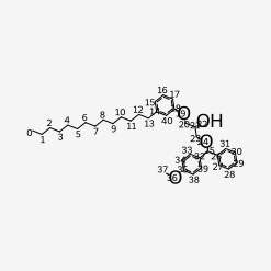 CCCCCCCCCCCCCCc1cccc(OCC(O)COC(c2ccccc2)c2ccc(OC)cc2)c1